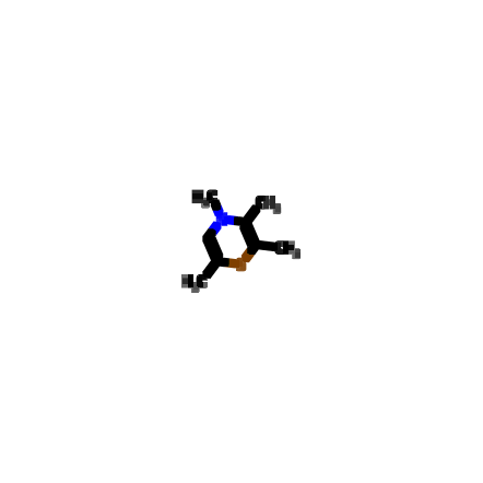 CC1=CN(C)C(C)=C(C)S1